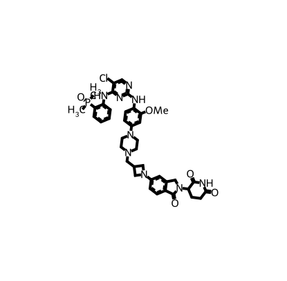 COc1cc(N2CCN(CC3CN(c4ccc5c(c4)CN(C4CCC(=O)NC4=O)C5=O)C3)CC2)ccc1Nc1ncc(Cl)c(Nc2ccccc2P(C)(C)=O)n1